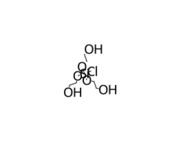 OCCO[Si](Cl)(OCCO)OCCO